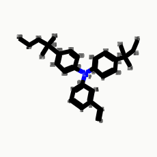 C=Cc1cccc(N(c2ccc(C(C)(C)CC)cc2)c2ccc(C(C)(C)CCC)cc2)c1